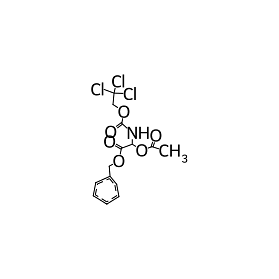 CC(=O)OC(NC(=O)OCC(Cl)(Cl)Cl)C(=O)OCc1ccccc1